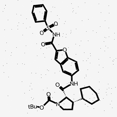 CC(C)(C)OC(=O)N1CC[C@@H](C2CCCCC2)[C@H]1C(=O)Nc1ccc2oc(C(=O)NS(=O)(=O)c3ccccc3)cc2c1